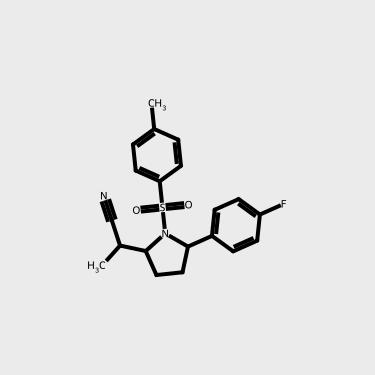 Cc1ccc(S(=O)(=O)N2C(c3ccc(F)cc3)CCC2C(C)C#N)cc1